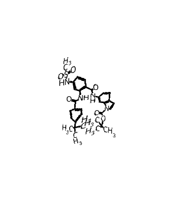 CC(C)(C)OC(=O)n1ccc2ccc(NC(=O)c3ccc(NS(C)(=O)=O)cc3NC(=O)c3ccc(C(C)(C)C)cc3)cc21